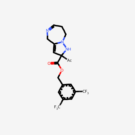 CC(=O)C1(C(=O)OCc2cc(C(F)(F)F)cc(C(F)(F)F)c2)C=C2CN=CCCN2N1